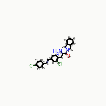 NC(Cc1ccc(/C=C/c2ccc(Cl)cc2)cc1Cl)C(=O)N1Cc2ccccc2C1